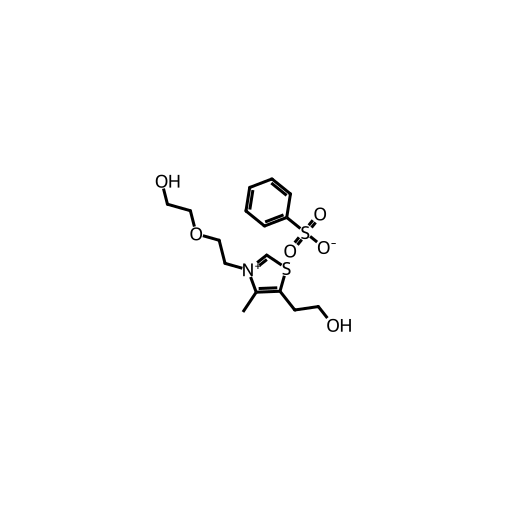 Cc1c(CCO)sc[n+]1CCOCCO.O=S(=O)([O-])c1ccccc1